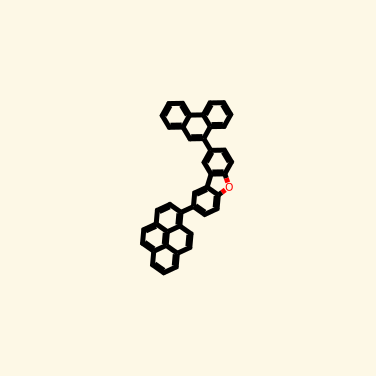 c1ccc2c(c1)cc(-c1ccc3oc4ccc(-c5ccc6ccc7cccc8ccc5c6c78)cc4c3c1)c1ccccc12